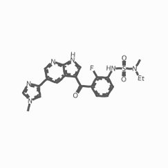 CCN(C)S(=O)(=O)Nc1cccc(C(=O)c2c[nH]c3ncc(-c4cn(C)cn4)cc23)c1F